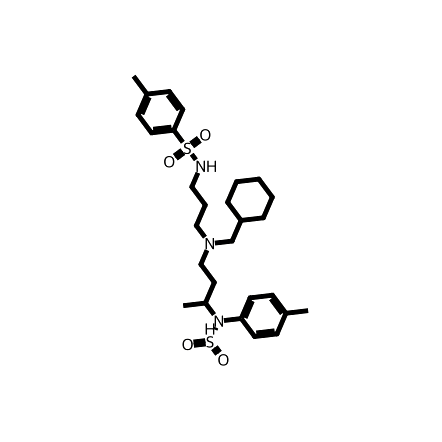 Cc1ccc(N(C(C)CCN(CCCNS(=O)(=O)c2ccc(C)cc2)CC2CCCCC2)[SH](=O)=O)cc1